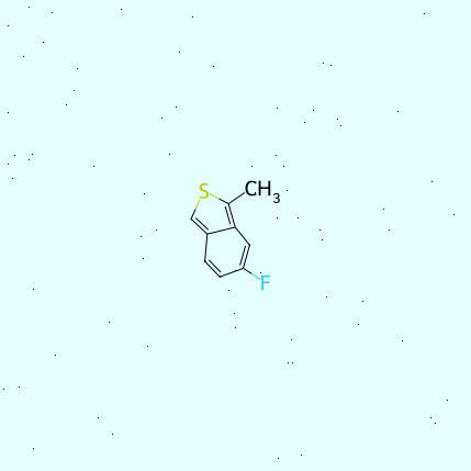 Cc1scc2ccc(F)cc12